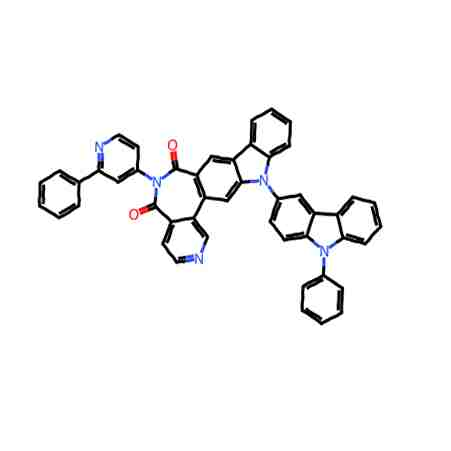 O=c1c2ccncc2c2cc3c(cc2c(=O)n1-c1ccnc(-c2ccccc2)c1)c1ccccc1n3-c1ccc2c(c1)c1ccccc1n2-c1ccccc1